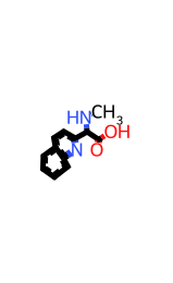 CNC(C(=O)O)c1ccc2ccccc2n1